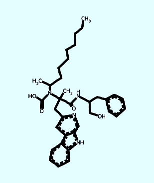 CCCCCCCCC(C)N(C(=O)O)C(C)(Cc1cc2c(cn1)[nH]c1ccccc12)C(=O)NC(CO)Cc1ccccc1